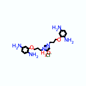 Nc1ccc(N)c(OCCCn2cc[n+](CCCOc3cc(N)ccc3N)c2)c1.O.[Cl-]